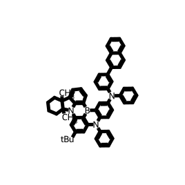 CC(C)(C)c1cc2c3c(c1)N1c4c(cccc4C4(C)CCCCC14C)B3c1cc(N(c3ccccc3)c3cccc(-c4ccc5ccccc5c4)c3)ccc1N2c1ccccc1